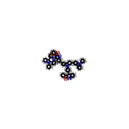 c1ccc(-n2c3c(c4ccccc42)-c2ccccc2N(c2c4ccc(-c5ccc6c(c5)c5ccc(-c7ccc8c(c7)c7ccccc7n8-c7ccccc7)cc5n6-c5ccc(-c6c7ccccc7nc7oc8ccccc8c67)cc5)cc4nc4oc5ccccc5c24)c2ccccc2-3)cc1